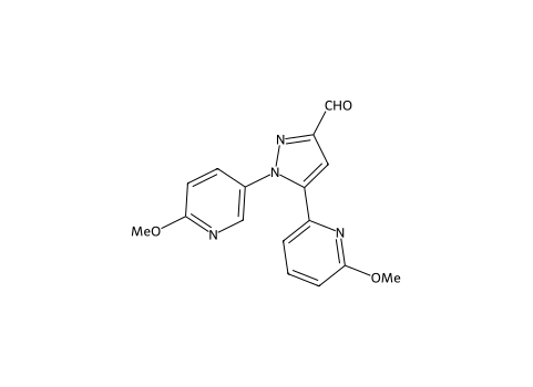 COc1ccc(-n2nc(C=O)cc2-c2cccc(OC)n2)cn1